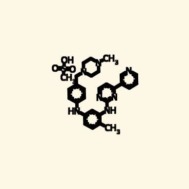 CS(=O)(=O)O.Cc1ccc(Nc2ccc(CN3CCN(C)CC3)cc2)cc1Nc1nccc(-c2cccnc2)n1